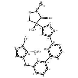 CCn1ncc(Nc2nccc(-c3cccc(-c4cc([C@]5(O)CCN(C)C5=O)on4)n3)n2)c1OC